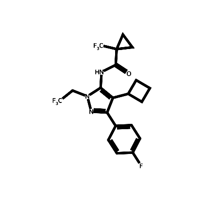 O=C(Nc1c(C2CCC2)c(-c2ccc(F)cc2)nn1CC(F)(F)F)C1(C(F)(F)F)CC1